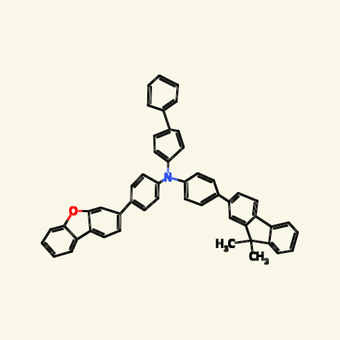 CC1(C)c2ccccc2-c2ccc(-c3ccc(N(c4ccc(-c5ccccc5)cc4)c4ccc(-c5ccc6c(c5)oc5ccccc56)cc4)cc3)cc21